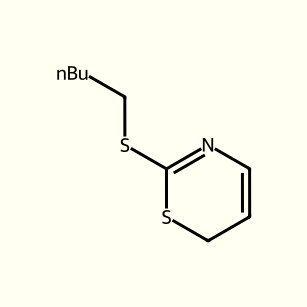 CCCCCSC1=NC=CCS1